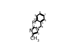 Cc1cn(Cc2ccccc2F)cn1